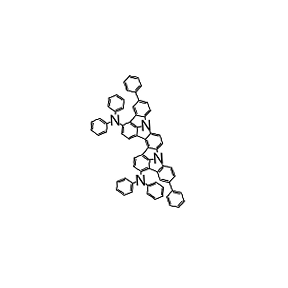 c1ccc(-c2ccc3c(c2)c2c(N(c4ccccc4)c4ccccc4)ccc4c5c6c7ccc(N(c8ccccc8)c8ccccc8)c8c9cc(-c%10ccccc%10)ccc9n(c6ccc5n3c42)c78)cc1